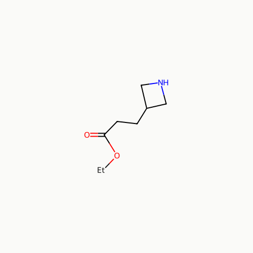 CCOC(=O)CCC1CNC1